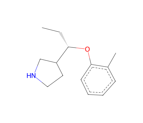 CC[C@H](Oc1ccccc1C)C1CCNC1